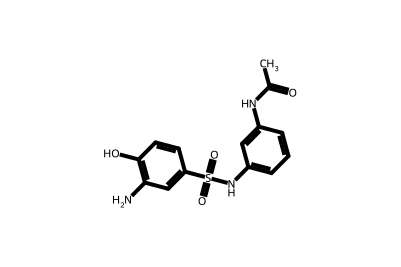 CC(=O)Nc1cccc(NS(=O)(=O)c2ccc(O)c(N)c2)c1